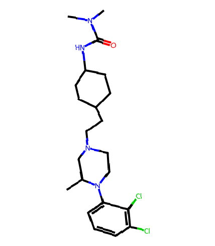 CC1CN(CCC2CCC(NC(=O)N(C)C)CC2)CCN1c1cccc(Cl)c1Cl